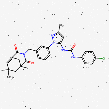 CC1(C(=O)O)C=C2CC(C)(C1)C(=O)N(Cc1cccc(-n3nc(C(C)(C)C)cc3NC(=O)Nc3ccc(Cl)cc3)c1)C2=O